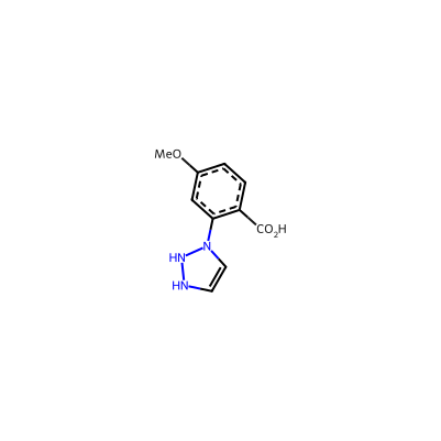 COc1ccc(C(=O)O)c(N2C=CNN2)c1